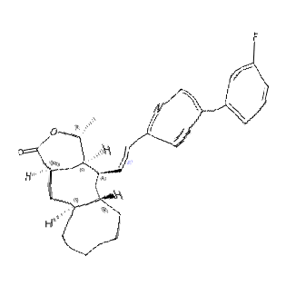 C[C@H]1OC(=O)[C@@H]2C[C@@H]3CCCC[C@H]3[C@H](/C=C/c3ccc(-c4cccc(F)c4)cn3)[C@H]12